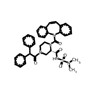 CN(C)S(=O)(=O)NC(=O)[C@@H]1CN(C(=O)C(c2ccccc2)c2ccccc2)CCN1C(=O)N1c2ccccc2C=Cc2ccccc21